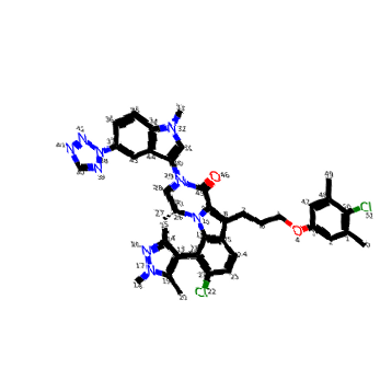 Cc1cc(OCCCc2c3n(c4c(-c5c(C)nn(C)c5C)c(Cl)ccc24)[C@H](C)CN(c2cn(C)c4ccc(-n5ncnn5)cc24)C3=O)cc(C)c1Cl